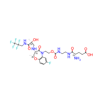 C[C@H]1Oc2ccc(F)cc2N(CCOC(=O)NCCNC(=O)[C@@H](N)CCC(=O)O)C(=O)[C@H]1NC[C@](C)(O)C(=O)NCC(F)(F)C(F)(F)F